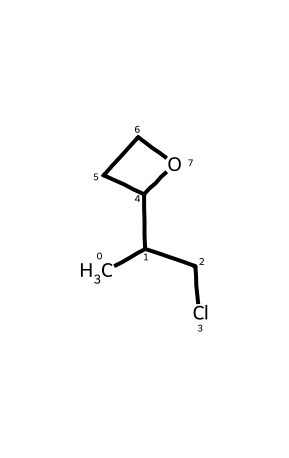 CC(CCl)C1CCO1